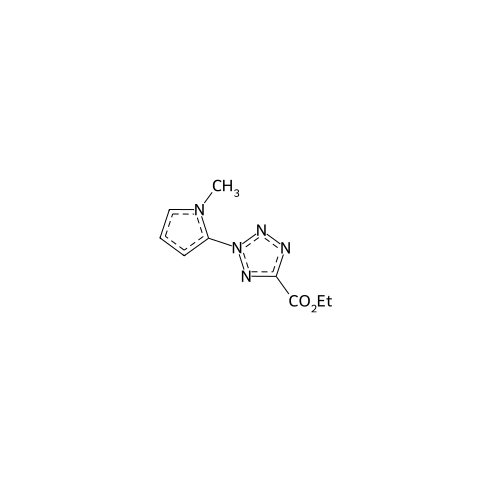 CCOC(=O)c1nnn(-c2cccn2C)n1